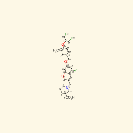 O=C(O)[C@H]1CCCN(CC2=Cc3c(F)cc(OCc4ccc(OC(CF)CF)c(C(F)(F)F)c4)cc3OC2)C1